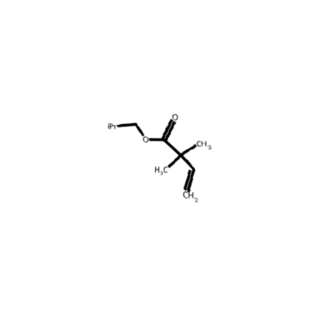 C=CC(C)(C)C(=O)OCC(C)C